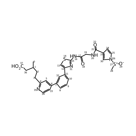 CC(CCc1cc(-c2cccc(-c3csc(NC(=O)CNC(=O)c4ccn([S+](C)[O-])c4)n3)c2)ccn1)CC(=O)O